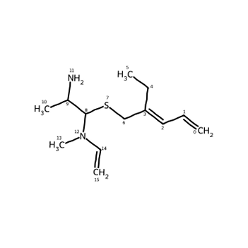 C=C/C=C(\CC)CSC(C(C)N)N(C)C=C